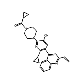 C=Cc1cc(-c2cc(C#N)c(N3CCN(C(=O)C4CC4)CC3)nc2C2CC2)c2ccccc2n1